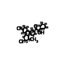 Cc1cc(Cl)ccc1N1CCN(C(=O)C(O)c2ccccc2)CC1c1ccc(Cl)cc1